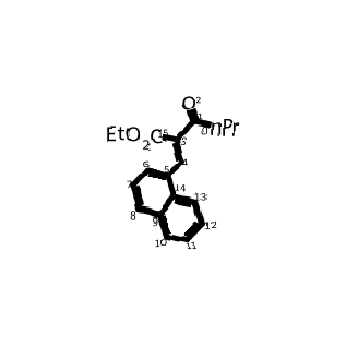 CCCC(=O)/C(=C/c1cccc2ccccc12)C(=O)OCC